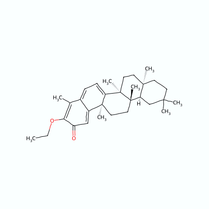 CCOC1=C(C)C2=CC=C3[C@@](C)(CC[C@@]4(C)[C@@H]5CC(C)(C)CC[C@]5(C)CC[C@]34C)C2=CC1=O